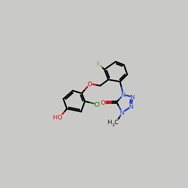 Cn1nnn(-c2cccc(F)c2COc2ccc(O)cc2Cl)c1=O